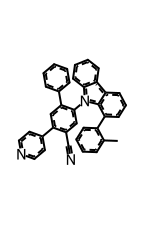 Cc1ccccc1-c1cccc2c3ccccc3n(-c3cc(C#N)c(-c4ccncc4)cc3-c3ccccc3)c12